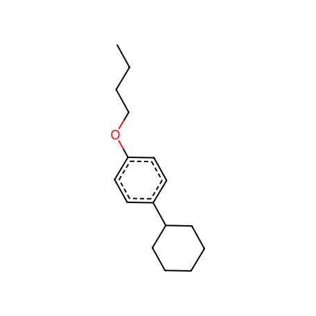 CCCCOc1ccc(C2CCCCC2)cc1